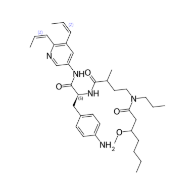 C/C=C\c1cc(NC(=O)[C@H](Cc2ccc(N)cc2)NC(=O)C(C)CCN(CCC)C(=O)CC(CCCC)OC)cnc1/C=C\C